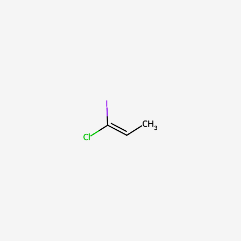 CC=C(Cl)I